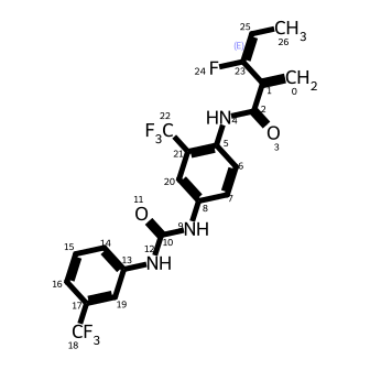 C=C(C(=O)Nc1ccc(NC(=O)Nc2cccc(C(F)(F)F)c2)cc1C(F)(F)F)/C(F)=C\C